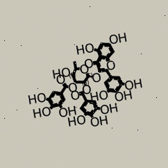 CC1O[C@@H](Oc2c(-c3cc(O)c(O)c(O)c3)oc3cc(O)cc(O)c3c2=O)[C@@H](OC(=O)c2cc(O)c(O)c(O)c2)C(OC(=O)c2cc(O)c(O)c(O)c2)[C@H]1O